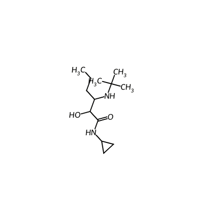 CCCC(NC(C)(C)C)C(O)C(=O)NC1CC1